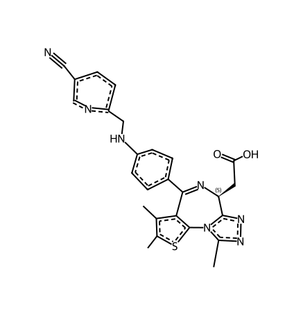 Cc1sc2c(c1C)C(c1ccc(NCc3ccc(C#N)cn3)cc1)=N[C@@H](CC(=O)O)c1nnc(C)n1-2